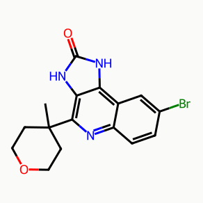 CC1(c2nc3ccc(Br)cc3c3[nH]c(=O)[nH]c23)CCOCC1